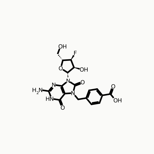 Nc1nc2c(c(=O)[nH]1)n(Cc1ccc(C(=O)O)cc1)c(=O)n2[C@@H]1O[C@H](CO)[C@@H](F)[C@H]1O